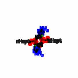 CCCCCCCC(=O)OCOP1(=O)OC[C@H]2O[C@@H](n3cnc4c(N)ncnc43)C(F)C2OP(=O)(OCOC(=O)CCCCCCC)OC[C@H]2C[C@@H](n3cnc4c(N)ncnc43)C(F)C2O1